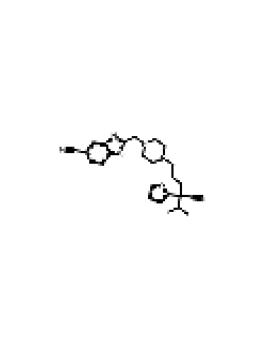 CC(C)C(C#N)(CCCN1CCN(Cc2nc3cc(C#N)ccc3o2)CC1)c1cccs1